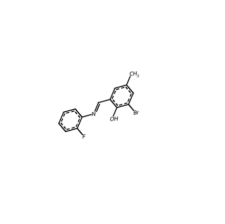 Cc1cc(Br)c(O)c(/C=N/c2ccccc2F)c1